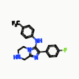 Fc1ccc(-c2nc3n(c2Nc2ccc(C(F)(F)F)cc2)CCNC3)cc1